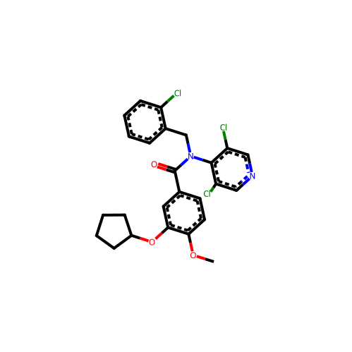 COc1ccc(C(=O)N(Cc2ccccc2Cl)c2c(Cl)cncc2Cl)cc1OC1CCCC1